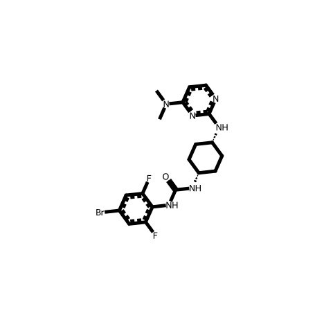 CN(C)c1ccnc(N[C@H]2CC[C@@H](NC(=O)Nc3c(F)cc(Br)cc3F)CC2)n1